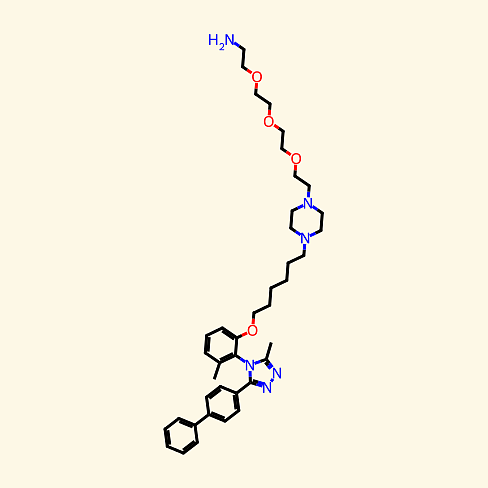 Cc1cccc(OCCCCCCN2CCN(CCOCCOCCOCCN)CC2)c1-n1c(C)nnc1-c1ccc(-c2ccccc2)cc1